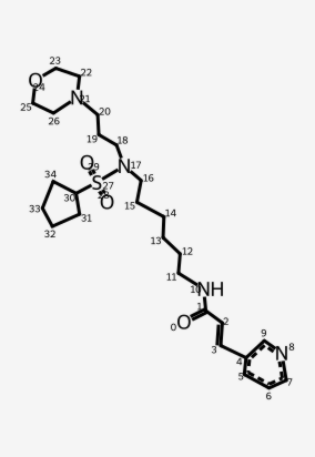 O=C(C=Cc1cccnc1)NCCCCCCN(CCCN1CCOCC1)S(=O)(=O)C1CCCC1